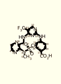 CN(c1nccnc1CNc1nc(Nc2ccc(C(=O)O)cc2)ncc1C(F)(F)F)S(C)(=O)=O